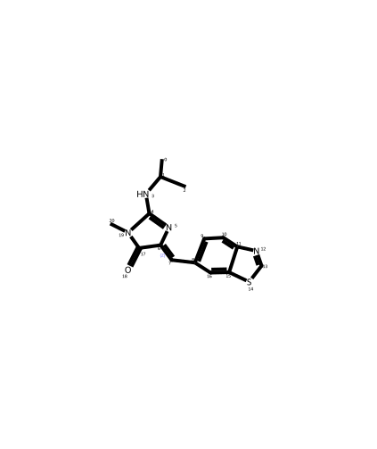 CC(C)NC1=N/C(=C\c2ccc3ncsc3c2)C(=O)N1C